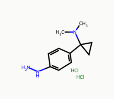 CN(C)C1(c2ccc(NN)cc2)CC1.Cl.Cl